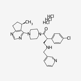 C[C@@H]1CCc2ncnc(N3CCN(C(=O)[C@H](CNCc4cccnc4)c4ccc(Cl)cc4)CC3)c21.Cl.Cl.Cl